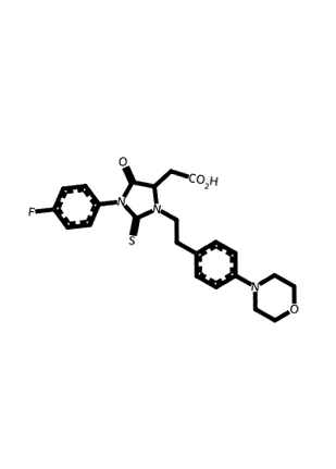 O=C(O)CC1C(=O)N(c2ccc(F)cc2)C(=S)N1CCc1ccc(N2CCOCC2)cc1